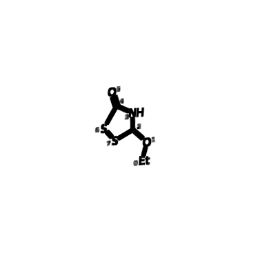 CCOC1NC(=O)SS1